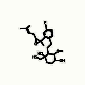 COC1C(O)CCC(O)(CS)C1CCc1ccc(F)cc1C1(C)OC1CC=C(C)C